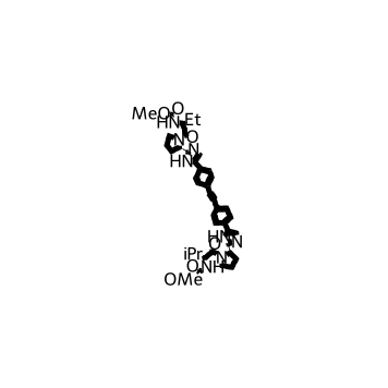 CC[C@H](NC(=O)OC)C(=O)N1CCC[C@H]1c1ncc(-c2ccc(C#Cc3ccc(-c4cnc([C@@H]5CCCN5C(=O)[C@@H](NC(=O)OC)C(C)C)[nH]4)cc3)cc2)[nH]1